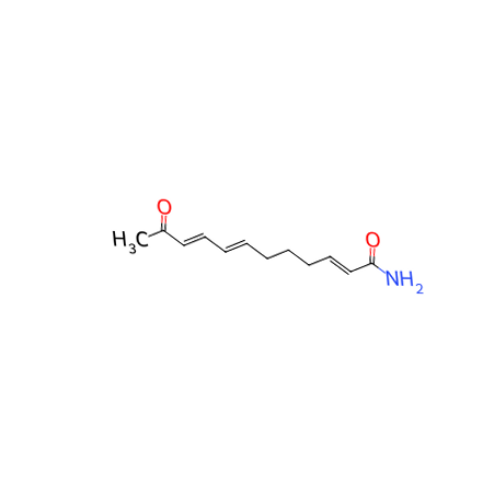 CC(=O)C=CC=CCCCC=CC(N)=O